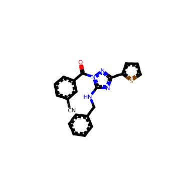 N#Cc1cccc(C(=O)n2nc(-c3cccs3)nc2NCc2ccccc2)c1